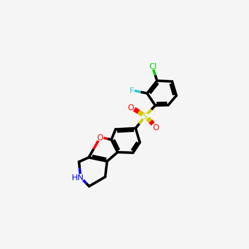 O=S(=O)(c1ccc2c3c(oc2c1)CNCC3)c1cccc(Cl)c1F